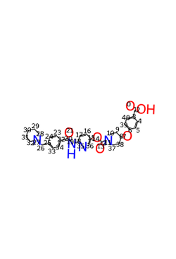 O=C(O)c1ccc(OC2CCN(C(=O)Oc3ccc(NC(=O)c4ccc(CN5CCCCC5)cc4)nc3)CC2)cc1